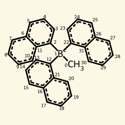 C[B-](c1cccc2ccccc12)(c1cccc2ccccc12)c1cccc2ccccc12